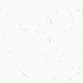 CCCOc1cnccc1-c1nc2cc(C(F)(F)F)ccc2o1